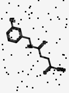 COC(=O)CCC(=O)NCc1cccc(C(F)(F)F)c1